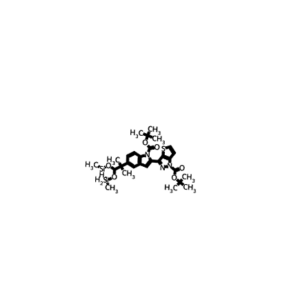 C[SiH2]OC(O[SiH2]C)C(C)(C)c1ccc2c(c1)cc(-c1nn(C(=O)OC(C)(C)C)c3ccsc13)n2C(=O)OC(C)(C)C